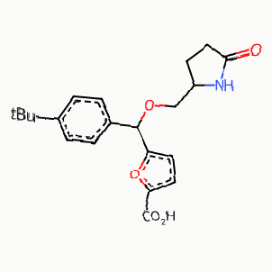 CC(C)(C)c1ccc(C(OCC2CCC(=O)N2)c2ccc(C(=O)O)o2)cc1